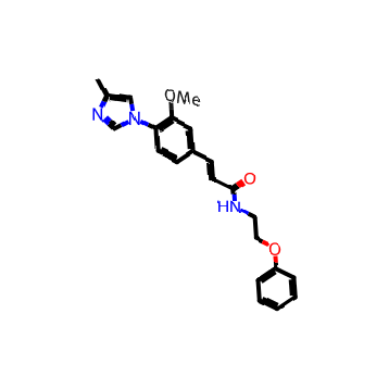 COc1cc(/C=C/C(=O)NCCOc2ccccc2)ccc1-n1cnc(C)c1